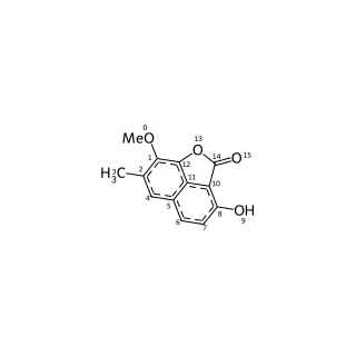 COc1c(C)cc2ccc(O)c3c2c1OC3=O